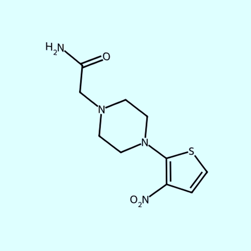 NC(=O)CN1CCN(c2sccc2[N+](=O)[O-])CC1